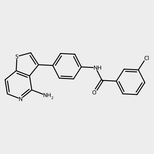 Nc1nccc2scc(-c3ccc(NC(=O)c4cccc(Cl)c4)cc3)c12